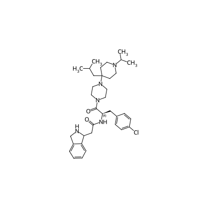 CC(C)CC1(N2CCN(C(=O)[C@@H](Cc3ccc(Cl)cc3)NC(=O)CC3NCc4ccccc43)CC2)CCN(C(C)C)CC1